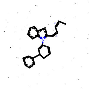 C/C=C\C=C/c1cc2ccccc2n1C1=CC(c2ccccc2)CC=C1